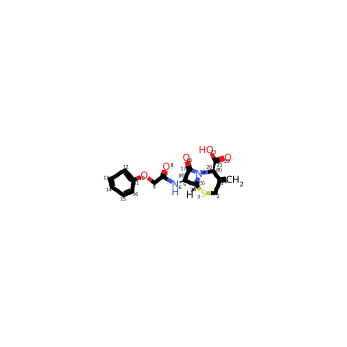 C=C1CS[C@H]2[C@H](NC(=O)COc3ccccc3)C(=O)N2[C@H]1C(=O)O